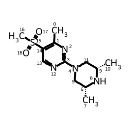 Cc1nc(N2C[C@@H](C)N[C@@H](C)C2)ncc1S(C)(=O)=O